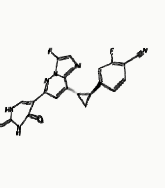 N#Cc1ccc([C@H]2C[C@@H]2c2cc(-c3c[nH]c(=O)[nH]c3=O)nn3c(F)cnc23)cc1F